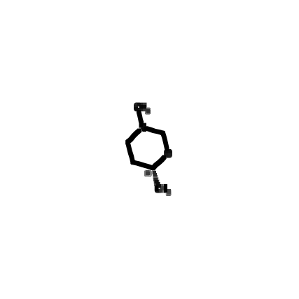 C[C@@H]1CCN(C)CO1